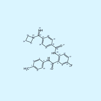 Cc1ccc(NC(=O)c2cc(F)ccc2NC(=O)c2ccc(C(=N)N3CCC3)cc2)cc1